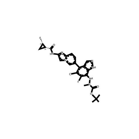 CN(Nc1c(F)c(Cl)c(-c2ccc3nc(NC(=O)[C@@H]4C[C@@H]4F)cn3c2)c2cn[nH]c12)C(=O)OC(C)(C)C